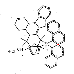 Cl.Cl.[CH2]=[Zr]([C]1=CC=CC1)([c]1cccc2ccccc12)([c]1cccc2ccccc12)[C]1(C)C2=C3Cc4ccccc4C3=C3C=CCCC3C2(C)C(C)(C)C(C)(C)C1(C)C